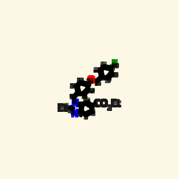 CCOC(=O)c1ccc2nc(CC)n(Cc3ccc(OCc4ccc(F)cc4)cc3)c2c1